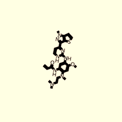 C=CC(=O)Nc1cc(NC2N=C(c3nn(C)c4ccsc34)C=CN2)c(OC)cc1N(C)CCN(C)C